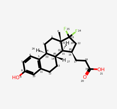 C[C@]12CC[C@@H]3c4ccc(O)cc4CC[C@H]3[C@@H]1[C@H](CCC(=O)O)CC2(F)F